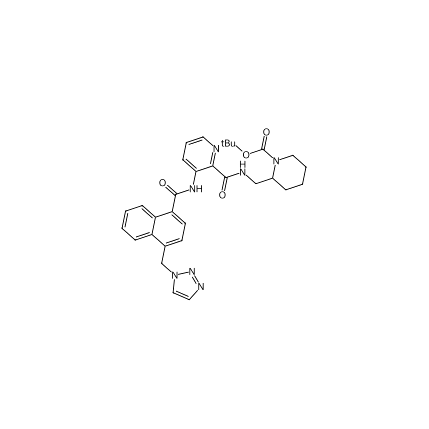 CC(C)(C)OC(=O)N1CCCCC1CNC(=O)c1ncccc1NC(=O)c1ccc(Cn2ccnn2)c2ccccc12